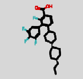 CCC[C@H]1CC[C@H](C2CCC(c3ccc(C(=O)O)c(F)c3-c3cc(F)c(F)c(F)c3)CC2)CC1